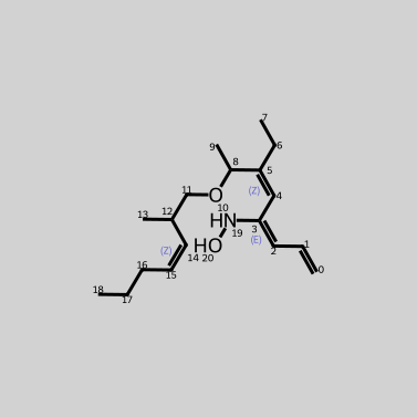 C=C/C=C(\C=C(\CC)C(C)OCC(C)/C=C\CCC)NO